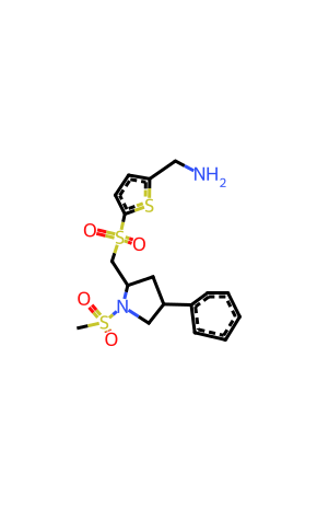 CS(=O)(=O)N1CC(c2ccccc2)CC1CS(=O)(=O)c1ccc(CN)s1